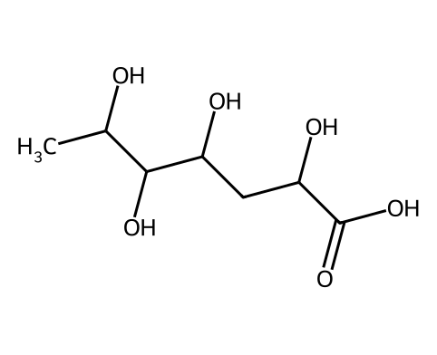 CC(O)C(O)C(O)CC(O)C(=O)O